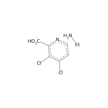 CCN.O=C(O)c1nccc(Cl)c1Cl